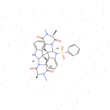 C[C@H]1C(=O)N2C(C[C@]3([C@]45C[C@H]6C(=O)N(C)[C@@H](C)C(=O)N6[C@H]4Nc4ccccc45)c4ccccc4N(S(=O)(=O)c4ccccc4)[C@H]23)C(=O)N1C